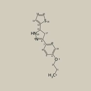 CCCOc1ccc(C2=NNC(c3cccs3)C2)cc1